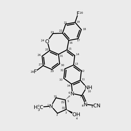 CN1C[C@H](O)[C@@H](n2c(=NC#N)[nH]c3cc(C=C4c5ccc(F)cc5COc5cc(F)ccc54)ccc32)C1